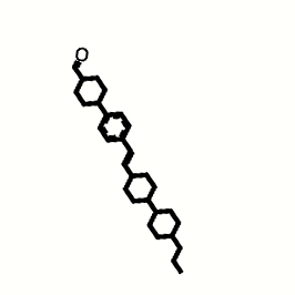 CCCC1CCC(C2CCC(C=Cc3ccc(C4CCC(C=O)CC4)cc3)CC2)CC1